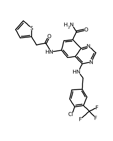 NC(=O)c1cc(NC(=O)Cc2cccs2)cc2c(NCc3ccc(Cl)c(C(F)(F)F)c3)ncnc12